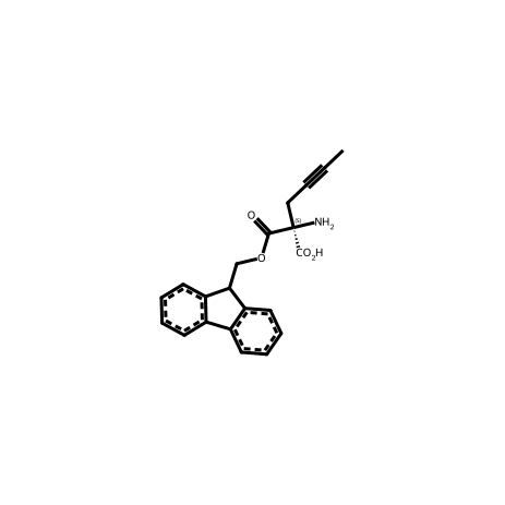 CC#CC[C@](N)(C(=O)O)C(=O)OCC1c2ccccc2-c2ccccc21